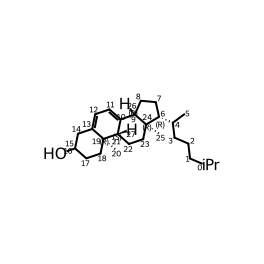 CC(C)CCCC(C)[C@H]1CC[C@H]2C3=CC=C4CC(O)CC[C@]4(C)[C@H]3CC[C@]12C